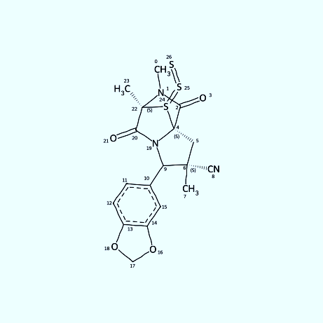 CN1C(=O)[C@@]23C[C@](C)(C#N)C(c4ccc5c(c4)OCO5)N2C(=O)[C@]1(C)S3=S=S